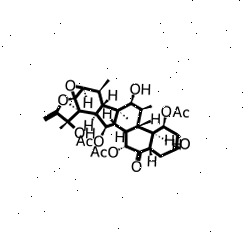 C=C1O[C@@]23O[C@H]2[C@@H](C)[C@H]2[C@@H]([C@H](OC(C)=O)[C@H]4[C@H]5[C@H]([C@H](C)[C@H](O)[C@@]42C)[C@]2(C)[C@H](C[C@@H]4O[C@@H]4[C@@H]2OC(C)=O)C(=O)[C@@H]5OC(C)=O)[C@@]3(C)[C@]1(C)O